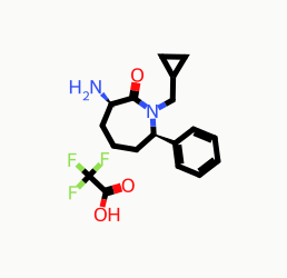 N[C@@H]1CCC[C@H](c2ccccc2)N(CC2CC2)C1=O.O=C(O)C(F)(F)F